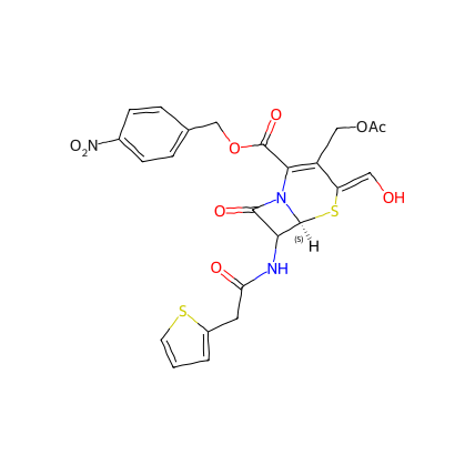 CC(=O)OCC1=C(C(=O)OCc2ccc([N+](=O)[O-])cc2)N2C(=O)C(NC(=O)Cc3cccs3)[C@@H]2SC1=CO